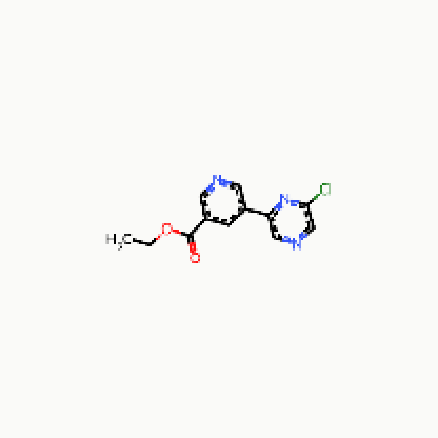 CCOC(=O)c1cncc(-c2cncc(Cl)n2)c1